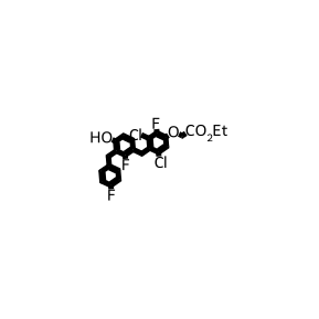 CCOC(=O)COc1cc(Cl)c(Cc2ccc(O)c(Cc3ccc(F)cc3)c2F)c(Cl)c1F